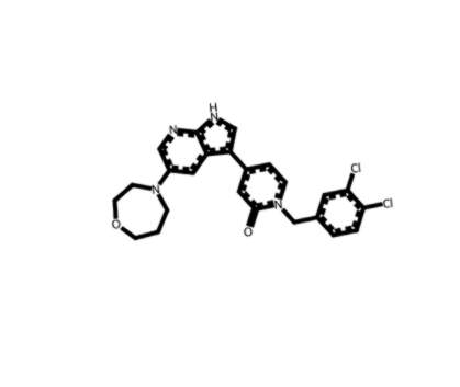 O=c1cc(-c2c[nH]c3ncc(N4CCCOCC4)cc23)ccn1Cc1ccc(Cl)c(Cl)c1